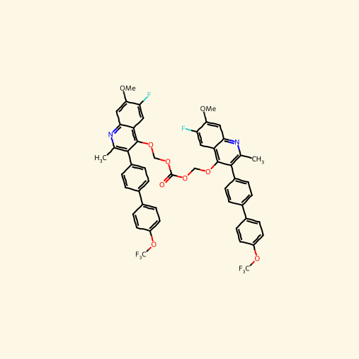 COc1cc2nc(C)c(-c3ccc(-c4ccc(OC(F)(F)F)cc4)cc3)c(OCOC(=O)OCOc3c(-c4ccc(-c5ccc(OC(F)(F)F)cc5)cc4)c(C)nc4cc(OC)c(F)cc34)c2cc1F